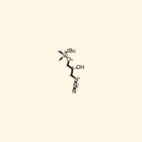 CC(C)(C)[Si](C)(C)OC[C@H](O)CN=[N+]=[N-]